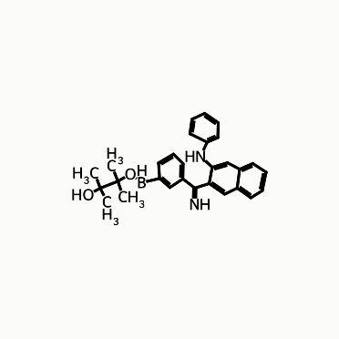 CC(C)(O)C(C)(C)OBc1cccc(C(=N)c2cc3ccccc3cc2Nc2ccccc2)c1